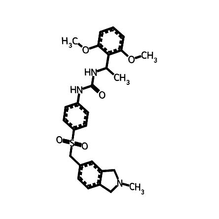 COc1cccc(OC)c1C(C)NC(=O)Nc1ccc(S(=O)(=O)Cc2ccc3c(c2)CN(C)C3)cc1